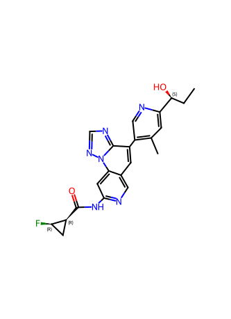 CC[C@H](O)c1cc(C)c(-c2cc3cnc(NC(=O)[C@H]4C[C@H]4F)cc3n3ncnc23)cn1